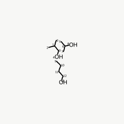 CC(C)CO.CC(C)O.CCCCO